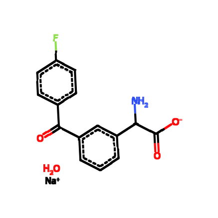 NC(C(=O)[O-])c1cccc(C(=O)c2ccc(F)cc2)c1.O.[Na+]